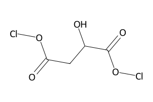 O=C(CC(O)C(=O)OCl)OCl